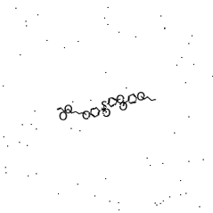 C=CC(=O)OCCCCOc1ccc(C(=O)Sc2ccc(OC(=O)c3ccc(OCCCC)cc3)cc2)cc1